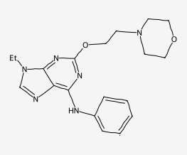 CCn1cnc2c(Nc3c[c]ccc3)nc(OCCN3CCOCC3)nc21